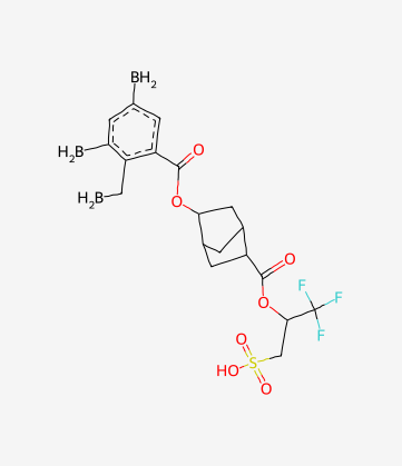 BCc1c(B)cc(B)cc1C(=O)OC1CC2CC1CC2C(=O)OC(CS(=O)(=O)O)C(F)(F)F